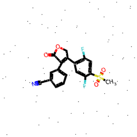 CS(=O)(=O)c1cc(F)c(C2=C(c3cccc(C#N)c3)C(=O)OC2)cc1F